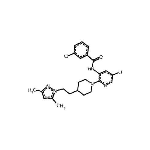 Cc1cc(C)n(CCC2CCN(c3ncc(Cl)cc3NC(=O)c3cccc(Cl)c3)CC2)n1